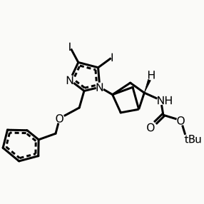 CC(C)(C)OC(=O)N[C@H]1CC2(n3c(COCc4ccccc4)nc(I)c3I)CC1C2